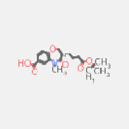 CN1C(=O)[C@@H](CCCC(=O)OC(C)(C)C)COc2ccc(C(=O)O)cc21